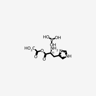 N[C@@H](Cc1c[nH]cn1)C(=O)OC(=O)C(=O)O.OB(O)O